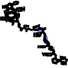 CC1=C[C@H]2[C@H](O)CC[C@@](C)(/C(O)=C3/C(=O)CNC3=O)[C@H]2C[C@@H]1CCC(C)C(O)/C(C)=C/CC(O)/C=C/C(C)C(O)/C=C/CC(O)/C=C/CC(O)CC1CCCN1C(=N)N